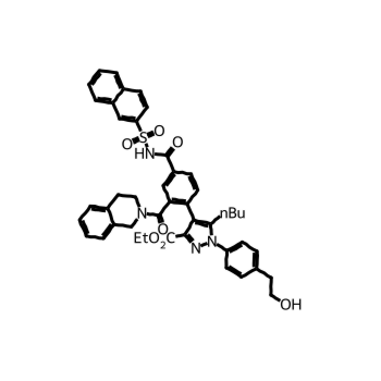 CCCCc1c(-c2ccc(C(=O)NS(=O)(=O)c3ccc4ccccc4c3)cc2C(=O)N2CCc3ccccc3C2)c(C(=O)OCC)nn1-c1ccc(CCO)cc1